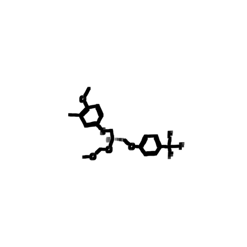 COCO[C@@H](COc1ccc(C(F)(F)F)cc1)CSc1ccc(OC)c(C)c1